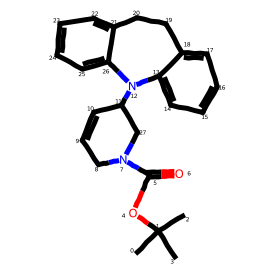 CC(C)(C)OC(=O)N1CC=CC(N2c3ccccc3CCc3ccccc32)C1